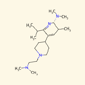 CC(C)C1=N[C@H](N(C)C)C(C)C=C1C1CCN(CCN(C)C)CC1